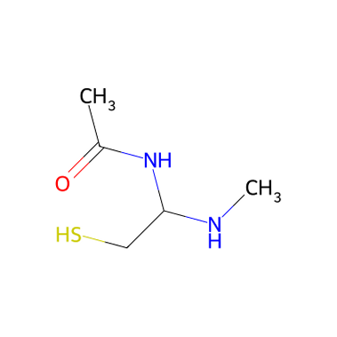 CNC(CS)NC(C)=O